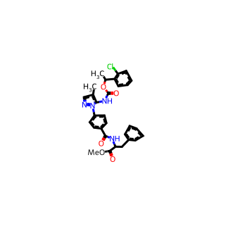 COC(=O)C(Cc1ccccc1)NC(=O)c1ccc(-n2ncc(C)c2NC(=O)OC(C)c2ccccc2Cl)cc1